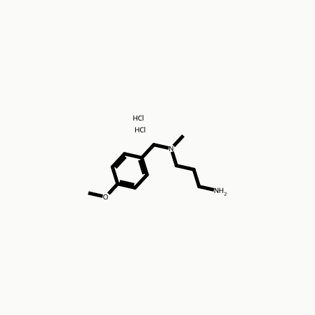 COc1ccc(CN(C)CCCN)cc1.Cl.Cl